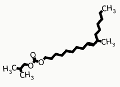 CCCCCCC(C)/C=C/CCCCCCCCOC(=O)OCC(C)C